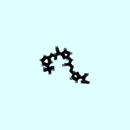 CNC(=O)c1cn(CCC(F)Cn2cc(C(=O)NCc3cccc(S(C)(=O)=O)c3)nn2)nn1